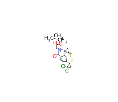 CC(C)(C)OC(=O)CN1C[C@@]2(C[C@@H]2F)c2cc(C3(F)CC3(Cl)Cl)ccc2C1=O